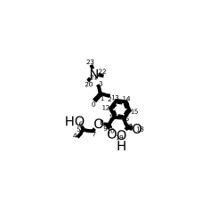 C=C(C)C.CC(O)COC(=O)c1ccccc1C(=O)O.CN(C)C